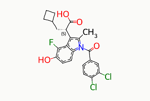 Cc1c([C@H](CC2CCC2)C(=O)O)c2c(F)c(O)ccc2n1C(=O)c1ccc(Cl)c(Cl)c1